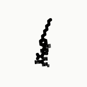 CCCCCCCCc1ccc(-c2noc(C(NC(=N)N)C(C)C)n2)cc1.Cl